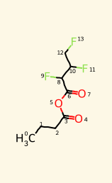 CCCC(=O)OC(=O)C(F)C(F)CF